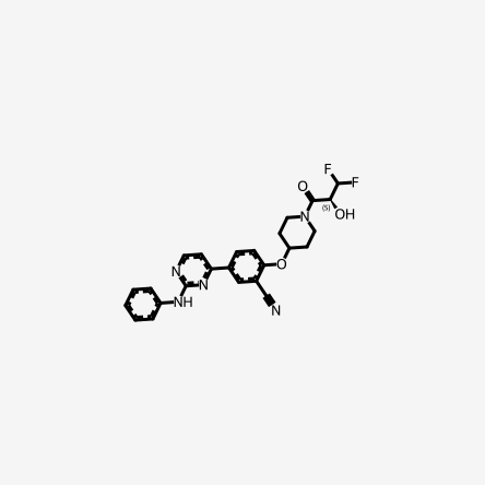 N#Cc1cc(-c2ccnc(Nc3ccccc3)n2)ccc1OC1CCN(C(=O)[C@H](O)C(F)F)CC1